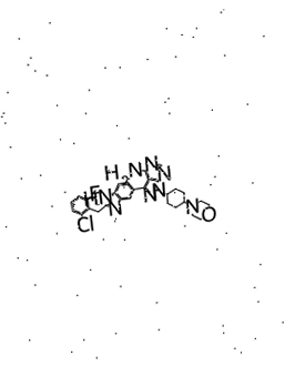 Nc1ncnc2c1c(-c1ccc3[nH]c(Cc4c(F)cccc4Cl)nc3c1)nn2[C@H]1CC[C@H](N2CCOCC2)CC1